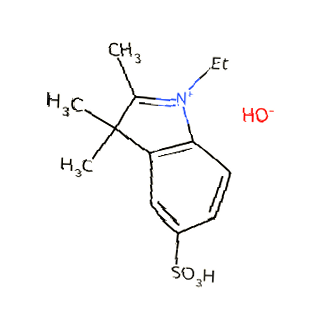 CC[N+]1=C(C)C(C)(C)c2cc(S(=O)(=O)O)ccc21.[OH-]